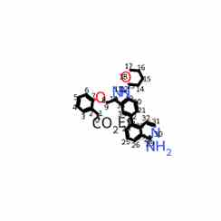 CCOC(=O)Cc1ccccc1OCc1nn(C2CCCCO2)c2ccc(-c3cccc4c(N)nccc34)cc12